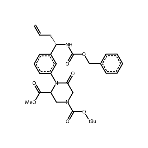 C=CC[C@H](NC(=O)OCc1ccccc1)c1cccc(N2C(=O)CN(C(=O)OC(C)(C)C)CC2C(=O)OC)c1